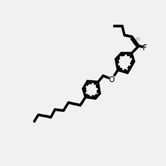 CCC/C=C(/F)c1ccc(OCc2ccc(CCCCCCC)cc2)cc1